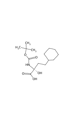 CC(C)(C)OC(=O)N[C@@](O)(CCC1CCCCC1)C(=O)O